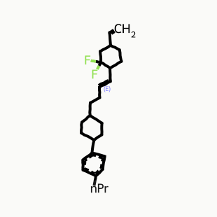 C=CC1CCC(/C=C/CCC2CCC(c3ccc(CCC)cc3)CC2)C(F)(F)C1